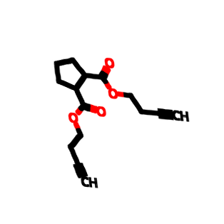 C#CCCOC(=O)C1CCCC1C(=O)OCCC#C